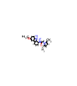 COc1ccc2[nH]c3c(c2c1)CCCC3NC(=O)Cn1c(C)ccc1C